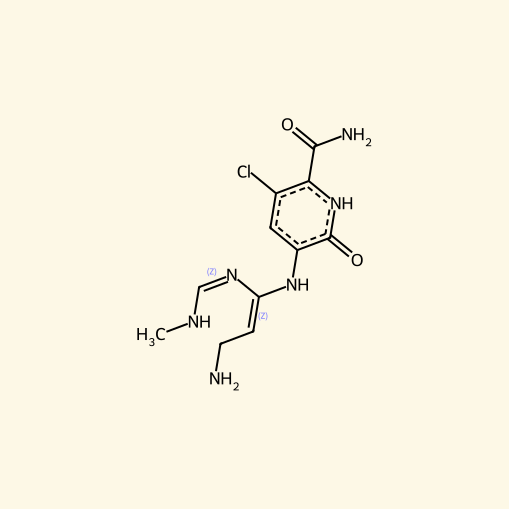 CN/C=N\C(=C/CN)Nc1cc(Cl)c(C(N)=O)[nH]c1=O